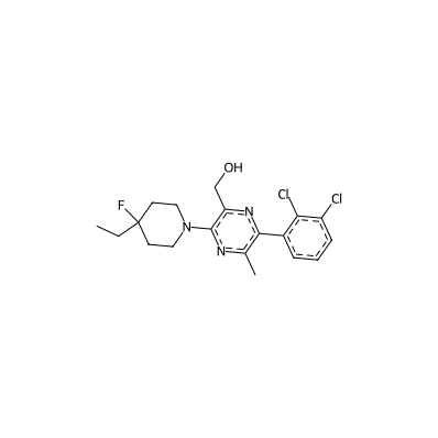 CCC1(F)CCN(c2nc(C)c(-c3cccc(Cl)c3Cl)nc2CO)CC1